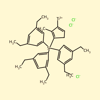 CCc1cc(CC)cc([Si](C2=C(C)[C]([Ti+3])=CC2)(c2cc(CC)cc(CC)c2)c2cc(CC)cc(CC)c2)c1.[Cl-].[Cl-].[Cl-]